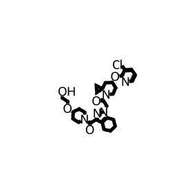 O=C(c1nn(CC(=O)N2CC[C@H](Oc3ncccc3Cl)CC23CC3)c2c1CCCC2)N1CCC(OCCO)CC1